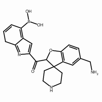 NCc1ccc2c(c1)C1(CCNCC1)C(C(=O)C1=CC3=C(B(O)O)C=CCC3=N1)O2